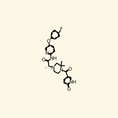 C[C@H](C(=O)Nc1ccc(Oc2ccc(F)cc2)cn1)N1CCN(C(=O)c2ccc(=O)[nH]c2)C(C)(C)C1